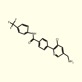 NCc1cnc(-c2ccc(C(=O)Nc3ccc(C(F)(F)F)cc3)cc2)c(Cl)c1